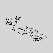 C[SiH](C)OC(CC(C)(C)C)O[C@@H]1C=C2CC[C@@H]3[C@H](CC[C@@]4(C)[C@H]3CC[C@@]4(O)c3ccoc3)[C@@]2(C)CC1